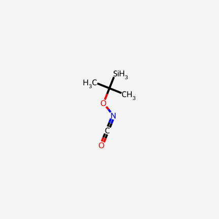 CC(C)([SiH3])ON=C=O